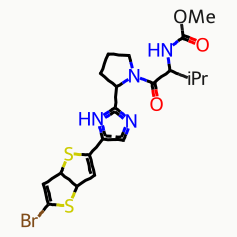 COC(=O)NC(C(=O)N1CCCC1c1ncc(C2=CC3SC(Br)=CC3S2)[nH]1)C(C)C